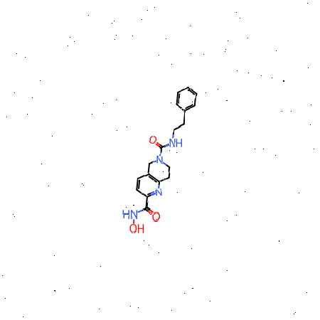 O=C(NO)c1ccc2c(n1)CCN(C(=O)NCCc1ccccc1)C2